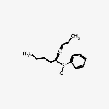 CCC=C=C(CCCC)[S+]([O-])c1ccccc1